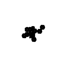 c1ccc(C2=NC(c3cc(-c4cccc(-c5ccccc5)c4)cc4oc5cc6ccccc6cc5c34)NC(c3ccc4ccccc4c3)=N2)cc1